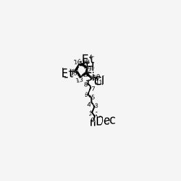 CCCCCCCCCCCCCCCCCC[SiH](CCl)c1cc(CC)cc(CC)c1